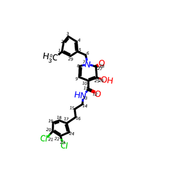 Cc1cccc(Cn2ccc(C(=O)NCCCc3ccc(Cl)c(Cl)c3)c(O)c2=O)c1